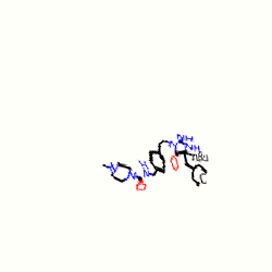 CCCCC1(CC2CCCCC2)NC(=N)N(Cc2ccc(CNC(=O)N3CCN(C)CC3)cc2)C1=O